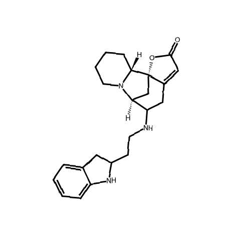 O=C1C=C2CC(NCCC3Cc4ccccc4N3)[C@@H]3C[C@@]2(O1)[C@H]1CCCCN31